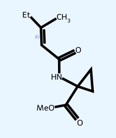 CC/C(C)=C/C(=O)NC1(C(=O)OC)CC1